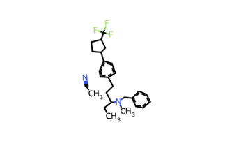 CC#N.CCC(CCc1ccc(C2CCC(C(F)(F)F)C2)cc1)N(C)Cc1ccccc1